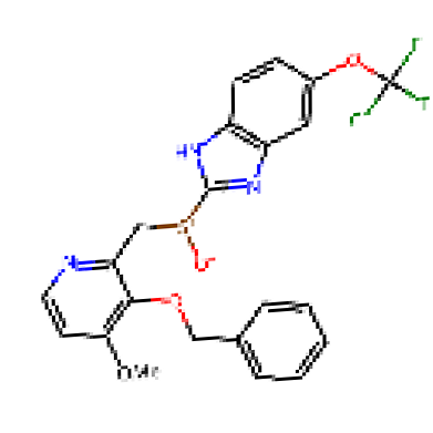 COc1ccnc(C[S+]([O-])c2nc3cc(OC(F)(F)Cl)ccc3[nH]2)c1OCc1ccccc1